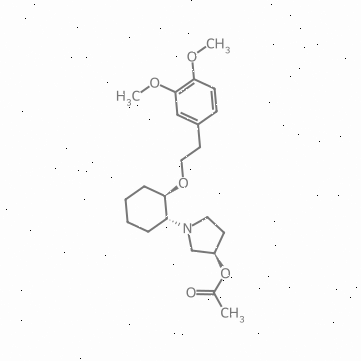 COc1ccc(CCO[C@@H]2CCCC[C@H]2N2CC[C@@H](OC(C)=O)C2)cc1OC